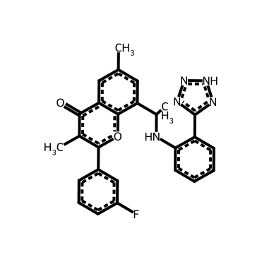 Cc1cc(C(C)Nc2ccccc2-c2nn[nH]n2)c2oc(-c3cccc(F)c3)c(C)c(=O)c2c1